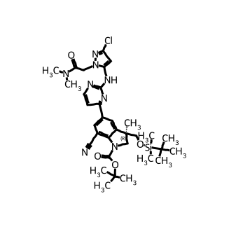 CN(C)C(=O)Cn1nc(Cl)cc1Nc1nccc(-c2cc(C#N)c3c(c2)[C@@](C)(CO[Si](C)(C)C(C)(C)C)CN3C(=O)OC(C)(C)C)n1